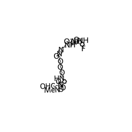 CNC(=O)C(CCC=O)N1C(=O)c2cccc(NCCOCCOCCOCCC(=O)N3CCN(CCCNC(=O)c4c(C)[nH]c(/C=C5\C(=O)Nc6ccc(F)cc65)c4C)CC3)c2C1=O